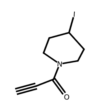 C#CC(=O)N1CCC(I)CC1